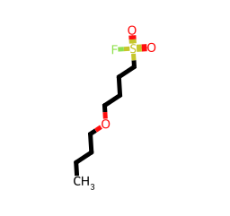 CCCCOCCCCS(=O)(=O)F